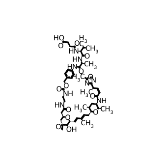 CC(/C=C/[C@H]1O[C@H](CC(=O)NCCNC(=O)OCc2ccc(NC(=O)[C@H](C)NC(=O)[C@@H](NC(=O)CCC(=O)O)C(C)C)cc2)C[C@@]2(CO2)[C@@H]1O)=C\C[C@@H]1O[C@H](C)[C@H](NC(=O)/C=C\[C@@H](C)c2noc(C)n2)C[C@@H]1C